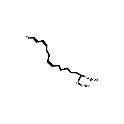 CC/C=C/C=C\CC/C=C\CCCCCC(OCCCCCCCCC)OCCCCCCCCC